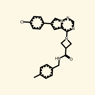 Cc1ccc(CNC(=O)C2CN(c3ncnn4cc(-c5ccc(Cl)cc5)cc34)C2)cc1